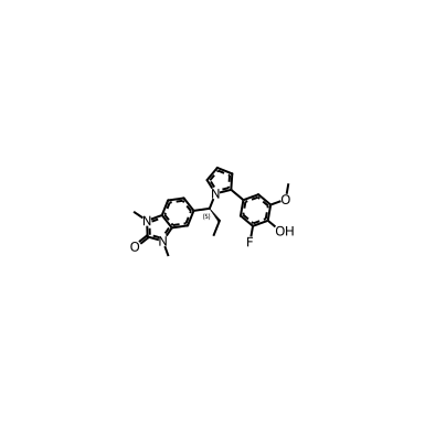 CC[C@@H](c1ccc2c(c1)n(C)c(=O)n2C)n1cccc1-c1cc(F)c(O)c(OC)c1